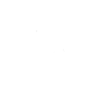 CC(C)(C=CCC(=O)O)C(=O)O